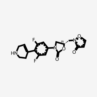 O=C1O[C@@H](Cn2occc2=O)CN1c1cc(F)c(C2=CCNCC2)c(F)c1